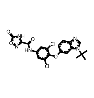 CC(C)(C)n1cnc2ccc(Oc3c(Cl)cc(NC(=O)c4noc(=O)[nH]4)cc3Cl)cc21